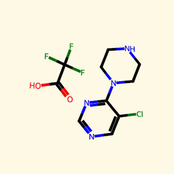 Clc1cncnc1N1CCNCC1.O=C(O)C(F)(F)F